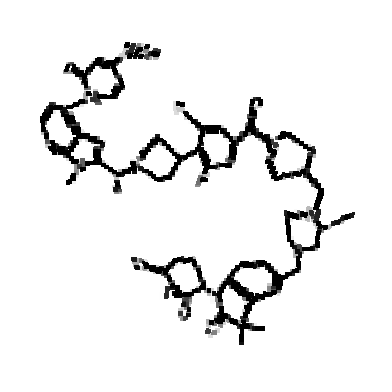 CNc1ccn(-c2ccnc3c2cc([C@H](C)N2CCC(c4c(F)cc(C(=O)N5CCC(CN6CCN(Cc7ccc8c(c7)C(C)(C)C(=O)N8[C@@H]7CCC(=O)NC7=O)C[C@@H]6C)CC5)cc4F)CC2)n3C)c(=O)c1